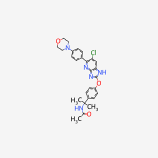 CC(=O)NC(C)(C)c1ccc(Oc2nc3nc(-c4ccc(N5CCOCC5)cc4)c(Cl)cc3[nH]2)cc1